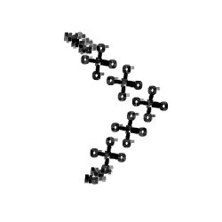 O=P([O-])([O-])[O-].O=P([O-])([O-])[O-].O=P([O-])([O-])[O-].O=P([O-])([O-])[O-].O=P([O-])([O-])[O-].[Nd+3].[Nd+3].[Nd+3].[Nd+3].[Nd+3]